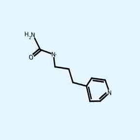 NC(=O)[N]CCCc1ccncc1